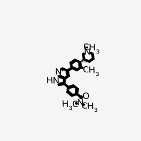 Cc1cc(-c2cnc3[nH]cc(-c4ccc(C(=O)N(C)C)cc4)c3c2)ccc1[C@@H]1CCCN(C)C1